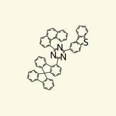 c1ccc2c(c1)-c1ccccc1C21c2ccccc2-c2c(-c3nc(-c4ccc5sc6ccccc6c5c4)nc(-c4cccc5ccc6ccccc6c45)n3)cccc21